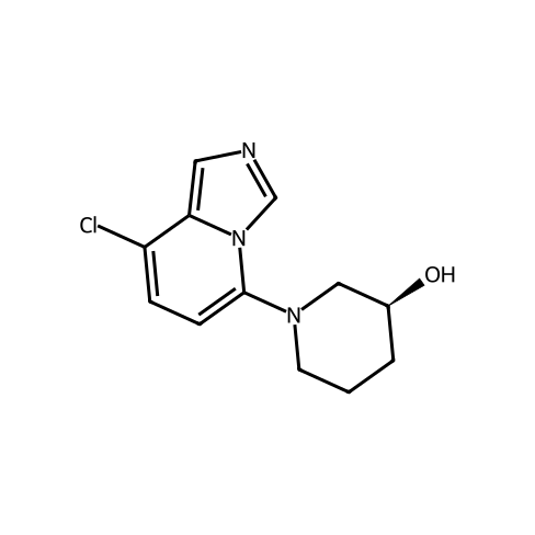 O[C@H]1CCCN(c2ccc(Cl)c3cncn23)C1